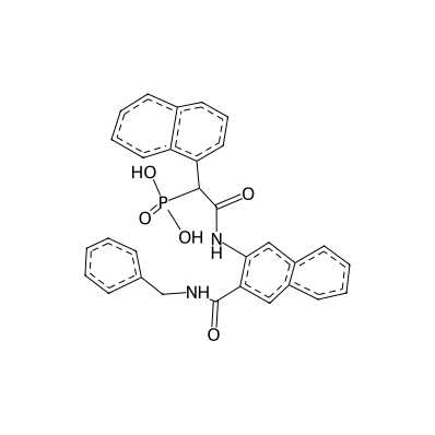 O=C(NCc1ccccc1)c1cc2ccccc2cc1NC(=O)C(c1cccc2ccccc12)P(=O)(O)O